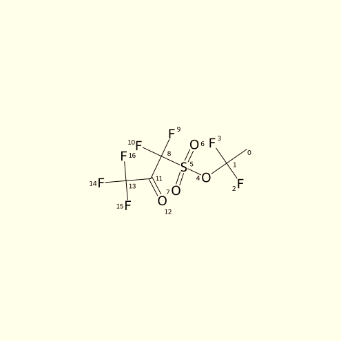 CC(F)(F)OS(=O)(=O)C(F)(F)C(=O)C(F)(F)F